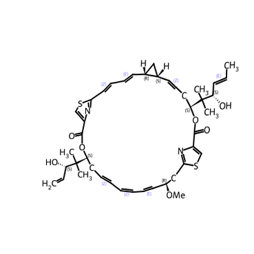 C=C[C@H](O)C(C)(C)[C@@H]1C\C=C/C=C\C=C\[C@H](OC)Cc2nc(cs2)C(=O)O[C@H](C(C)(C)[C@@H](O)/C=C/C)C/C=C\[C@H]2C[C@H]2/C=C/C=C\c2nc(cs2)C(=O)O1